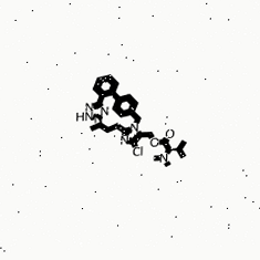 CCCCc1nc(Cl)c(COC(=O)[C@@H](C(C)C)N(C)C)n1Cc1ccc(-c2ccccc2-c2nn[nH]n2)cc1